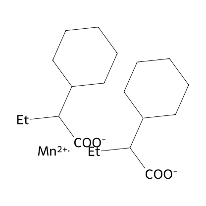 CCC(C(=O)[O-])C1CCCCC1.CCC(C(=O)[O-])C1CCCCC1.[Mn+2]